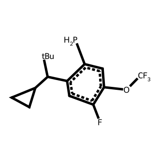 CC(C)(C)C(c1cc(F)c(OC(F)(F)F)cc1P)C1CC1